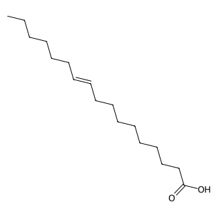 CCCCCCC=CCCCCCCCCC(=O)O